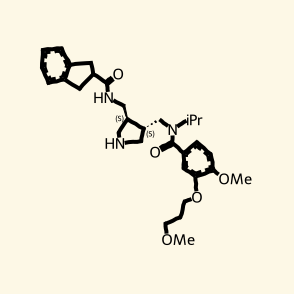 COCCCOc1cc(C(=O)N(C[C@@H]2CNC[C@H]2CNC(=O)C2Cc3ccccc3C2)C(C)C)ccc1OC